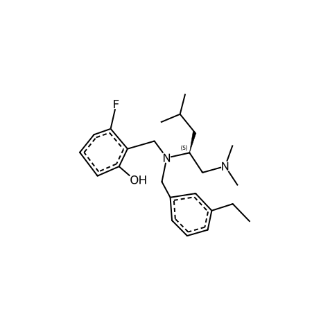 CCc1cccc(CN(Cc2c(O)cccc2F)[C@@H](CC(C)C)CN(C)C)c1